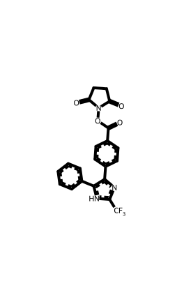 O=C(ON1C(=O)CCC1=O)c1ccc(-c2nc(C(F)(F)F)[nH]c2-c2ccccc2)cc1